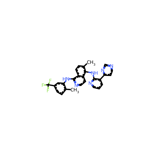 Cc1ccc(C(F)(F)F)cc1Nc1nccc2c(Nc3ncccc3-c3ccncn3)c(C)ccc12